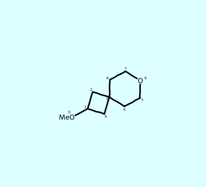 COC1CC2(CCOCC2)C1